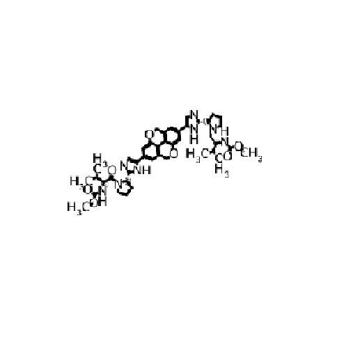 COC(=O)N[C@H](C(=O)N1CCC[C@H]1c1ncc(-c2cc3c4c(c2)OCc2cc(-c5cnc([C@@H]6CCCN6C[C@@H](NC(=O)OC)C(C)C)[nH]5)cc(c2-4)OC3)[nH]1)C(C)C